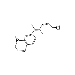 CC(/C=C\CCl)=C(/C)c1ccc2c(c1)P(C)CC=C2